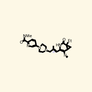 C=NC1=C(/C=C(\C)CN2CCN(c3ccc(C(=O)NC)nc3)CC2)NC(=O)C2(CC)CC12